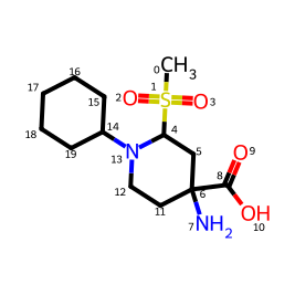 CS(=O)(=O)C1CC(N)(C(=O)O)CCN1C1CCCCC1